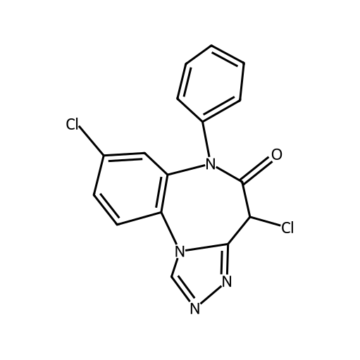 O=C1C(Cl)c2nncn2-c2ccc(Cl)cc2N1c1ccccc1